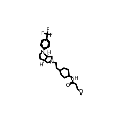 COCCC(=O)NC1CCC(CCN2C[C@H]3CCN(c4ccc(C(F)(F)F)cc4)[C@H]3C2)CC1